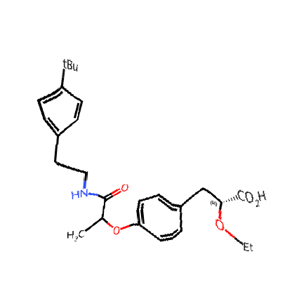 CCO[C@H](Cc1ccc(OC(C)C(=O)NCCc2ccc(C(C)(C)C)cc2)cc1)C(=O)O